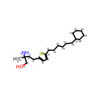 CC(N)(CO)CCc1ccc(CCCCCCC2CCCCC2)s1